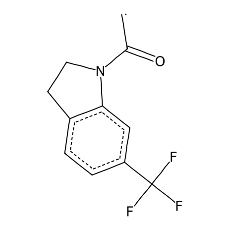 [CH2]C(=O)N1CCc2ccc(C(F)(F)F)cc21